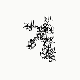 COC(=O)[C@H](CCCCN)NC(=O)[C@H](CCCCNC(=O)OC(C)(C)C)NC(=O)[C@H](CCCCNC(=O)OC(C)(C)C)NC(=O)[C@H](CCCNC(=O)[C@@H](O)[C@H](O)[C@H](O)[C@@H](O)C(=O)O)NC(=O)OC(C)(C)C